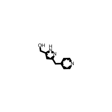 OCc1cc(Cc2ccncc2)n[nH]1